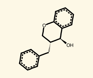 O[C@@H]1c2ccccc2OC[C@H]1Cc1ccccc1